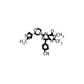 Cn1cc([C@H]2CN(c3nc(-c4ccc(C#N)cc4)c4nc(C(F)(F)F)n(C)c(=O)c4n3)CCO2)cn1